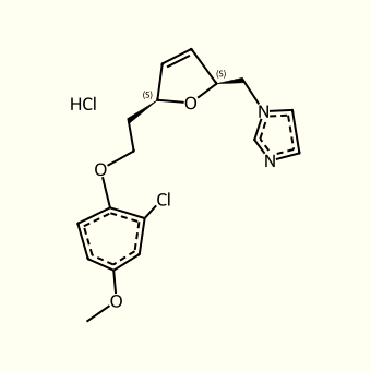 COc1ccc(OCC[C@H]2C=C[C@@H](Cn3ccnc3)O2)c(Cl)c1.Cl